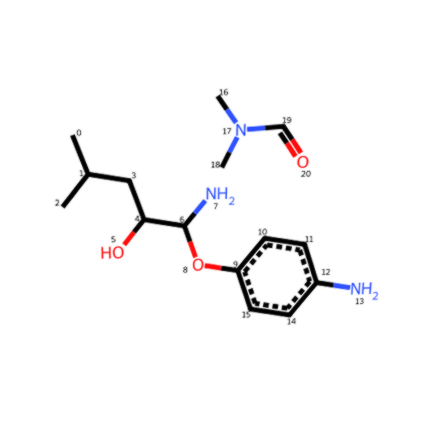 CC(C)CC(O)C(N)Oc1ccc(N)cc1.CN(C)C=O